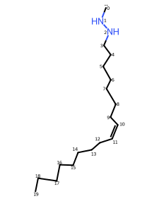 [CH]NNCCCCCCC/C=C\CCCCCCCC